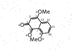 COC1=CC(=O)C(=O)c2c(OC)cccc21